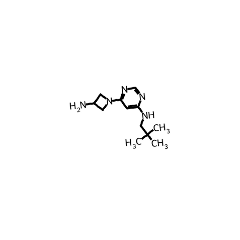 CC(C)(C)CNc1cc(N2CC(N)C2)ncn1